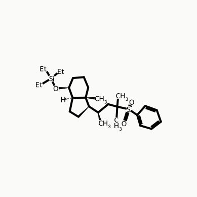 CC[Si](CC)(CC)O[C@H]1CCC[C@]2(C)[C@@H]([C@H](C)CC(C)(C)S(=O)(=O)c3ccccc3)CC[C@@H]12